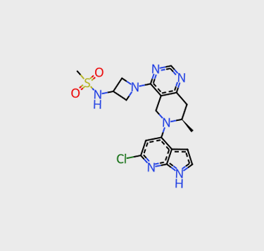 C[C@@H]1Cc2ncnc(N3CC(NS(C)(=O)=O)C3)c2CN1c1cc(Cl)nc2[nH]ccc12